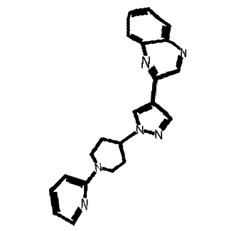 c1ccc(N2CCC(n3cc(-c4cnc5ccccc5n4)cn3)CC2)nc1